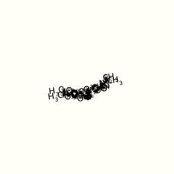 CCN(CC)S(=O)(=O)c1ccc(S(=O)(=O)N2CC3CC(C(=O)N4CCN(c5nc(C(C)C)no5)CC4)(C3)C2)cc1